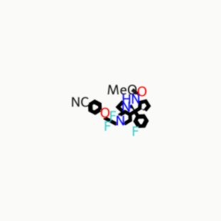 COC(=O)N[C@H]1CCC[C@@H]1[C@](CN1CCC1)(c1cccc(F)c1)C1CCN(CC(F)(F)COc2ccc(C#N)cc2)CC1